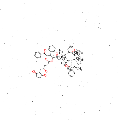 C=C(C)C[C@@]12CC[C@@H]1C[C@H](C)[C@@]1(C)C(=O)[C@H](CC(C)=O)C3=C(C)C(CC(=O)C(OC(=O)CCC(=O)CC4C(=O)CCC4=O)[C@@H](CC(=O)c4ccccc4)c4ccccc4)C[C@@](C)([C@@H](CC(=O)c4ccccc4)[C@]21C)[C@H]3C